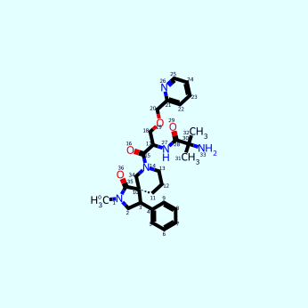 CN1CC(c2ccccc2)[C@@]2(CCCN(C(=O)C(COCc3ccccn3)NC(=O)C(C)(C)N)C2)C1=O